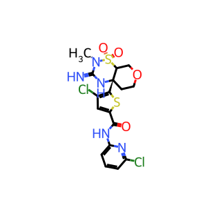 CN1C(=N)N[C@@]2(c3sc(C(=O)Nc4cccc(Cl)n4)cc3Cl)CCOCC2S1(=O)=O